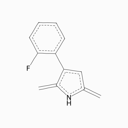 C=c1cc(-c2ccccc2F)c(=C)[nH]1